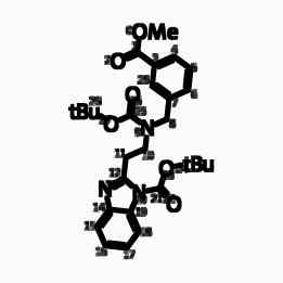 COC(=O)c1cccc(CN(CCc2nc3ccccc3n2C(=O)OC(C)(C)C)C(=O)OC(C)(C)C)c1